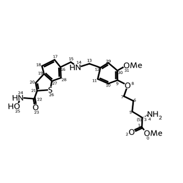 COC(=O)[C@@H](N)CCCOc1ccc(CNCc2ccc3cc(C(=O)NO)sc3c2)cc1OC